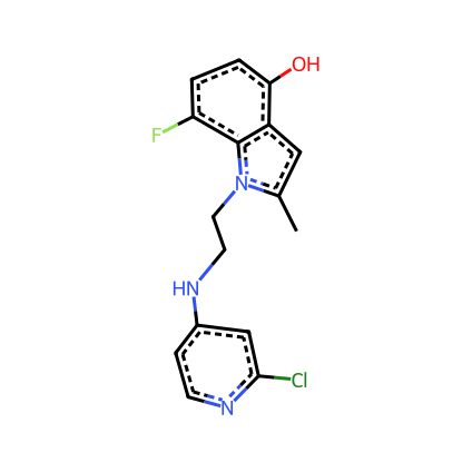 Cc1cc2c(O)ccc(F)c2n1CCNc1ccnc(Cl)c1